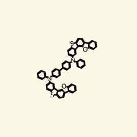 c1ccc(N(c2ccc(-c3ccc(N(c4ccccc4)c4ccc5sc6ccc7c8ccccc8oc7c6c5c4)cc3)cc2)c2ccc3sc4ccc5c6ccccc6oc5c4c3c2)cc1